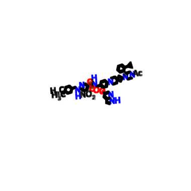 CC(=O)N1CCN(C2CC3(CCN(c4ccc(C(=O)NS(=O)(=O)c5cnc(NCC6CCC(C)(C)CC6)c([N+](=O)[O-])c5)c(Oc5cnc6[nH]ccc6c5)c4)CC3)C2)[C@@H](c2ccccc2C2CC2)C1